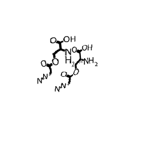 [N-]=[N+]=CC(=O)OCC(N)C(=O)O.[N-]=[N+]=CC(=O)OC[C@H](N)C(=O)O